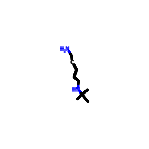 CC(C)(C)NCCCCCN